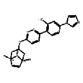 CN1[C@@H]2C=C[C@H]1CC(Oc1ccc(-c3ccc(-n4ccnc4)cc3O)nn1)C2